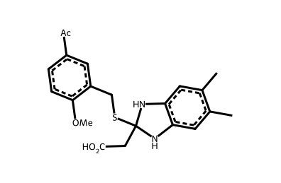 COc1ccc(C(C)=O)cc1CSC1(CC(=O)O)Nc2cc(C)c(C)cc2N1